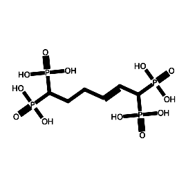 O=P(O)(O)C(C=CCCC(P(=O)(O)O)P(=O)(O)O)P(=O)(O)O